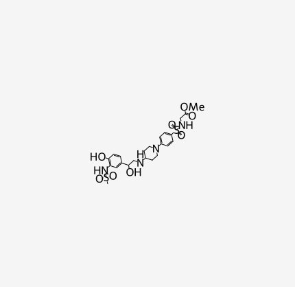 COC(=O)CNS(=O)(=O)c1ccc(N2CCC(NC[C@@H](O)c3ccc(O)c(NS(C)(=O)=O)c3)CC2)cc1